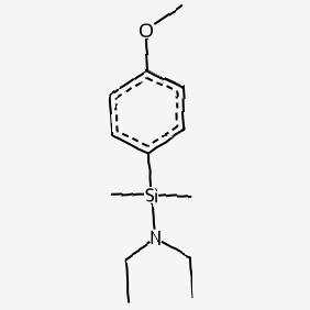 CCN(CC)[Si](C)(C)c1ccc(OC)cc1